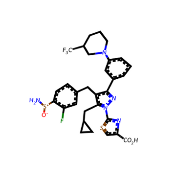 N[S+]([O-])c1ccc(Cc2c(-c3cccc(N4CCCC(C(F)(F)F)C4)c3)nn(-c3nc(C(=O)O)cs3)c2CC2CC2)cc1F